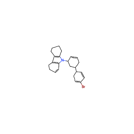 BrC1=CCC(C2CC=CC(n3c4c(c5c3CCCC5)CCC=C4)C2)C=C1